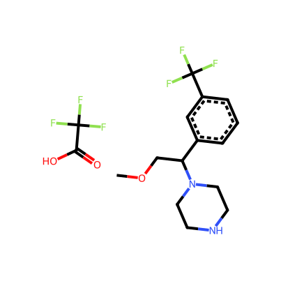 COCC(c1cccc(C(F)(F)F)c1)N1CCNCC1.O=C(O)C(F)(F)F